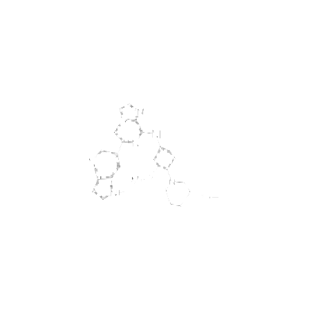 COc1cc(Nc2nc(-c3cnc4cc[nH]c4c3)cn3ccnc23)ccc1N1CCC[C@@H](O)C1